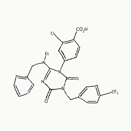 CCN(Cc1ccccc1)c1nc(=O)n(Cc2ccc(C(F)(F)F)cc2)c(=O)n1-c1ccc(C(=O)O)c(Cl)c1